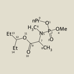 CCCOP(=O)(OC)N(C)C(C)C(=O)OC(CC)CC